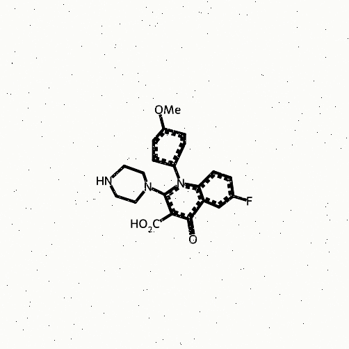 COc1ccc(-n2c(N3CCNCC3)c(C(=O)O)c(=O)c3cc(F)ccc32)cc1